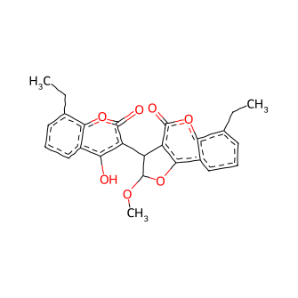 CCc1cccc2c(O)c(C3c4c(c5cccc(CC)c5oc4=O)OC3OC)c(=O)oc12